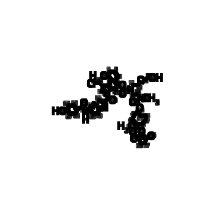 Cc1cccc2c(OC(=O)N(CCOCCO)CCN(C)C(=O)O[C@H]3/C=C/CC[C@@](C)(C(=O)ON4C(=O)CCC4=O)CC3)cc3c(c12)[C@H](CCl)CN3C(=O)c1cn2cc(NC(=O)c3ccc(O)cc3)ccc2n1